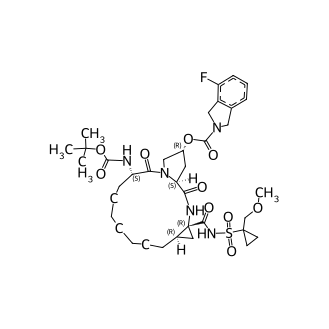 COCC1(S(=O)(=O)NC(=O)[C@@]23C[C@H]2CCCCCCC[C@H](NC(=O)OC(C)(C)C)C(=O)N2C[C@H](OC(=O)N4Cc5cccc(F)c5C4)C[C@H]2C(=O)N3)CC1